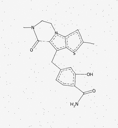 Cc1cc2c(s1)c(Cc1ccc(C(N)=O)c(O)c1)c1n2CCN(C)C1=O